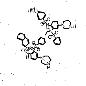 CCN(c1cc(N2CCCNCC2)ccc1NS(=O)(=O)c1ccccc1)S(=O)(=O)c1ccccc1.Cl.Cl.O=S(=O)(Nc1ccc(N2CCCNCC2)cc1NS(=O)(=O)c1ccccc1)c1ccc2ccccc2c1